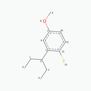 CCC(CC)c1cc(OC)ccc1F